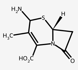 CC1=C(C(=O)O)N2C(=O)C[C@H]2SC1N